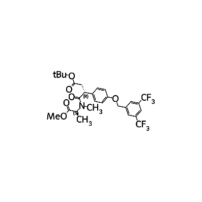 COC(=O)[C@H](C)N(C)C(=O)[C@H](CC(=O)OC(C)(C)C)c1ccc(OCc2cc(C(F)(F)F)cc(C(F)(F)F)c2)cc1